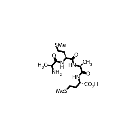 CSCC[C@H](NC(=O)[C@H](C)NC(=O)[C@H](CCSC)NC(=O)[C@H](C)N)C(=O)O